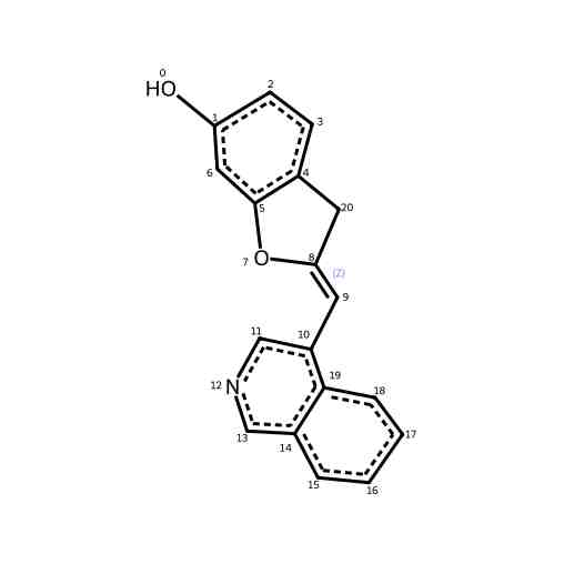 Oc1ccc2c(c1)O/C(=C\c1cncc3ccccc13)C2